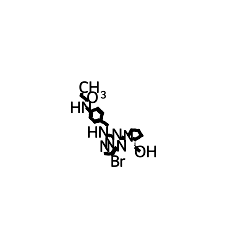 CCC(=O)Nc1ccc(CNc2nc(N3CCC[C@@H]3CO)nc3c(Br)cnn23)cc1